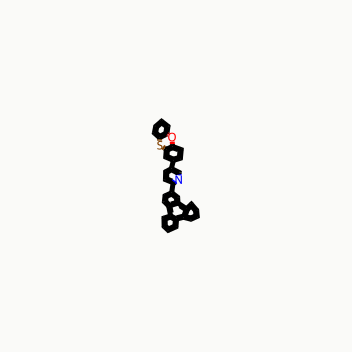 c1ccc2c(c1)Oc1ccc(-c3ccc(-c4ccc5c6ccccc6c6ccccc6c5c4)nc3)cc1S2